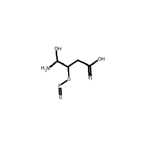 NC(O)C(CC(=O)O)OP=O